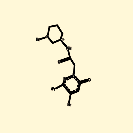 CCN1CCC[C@@H](NC(=O)Cn2nc(C(C)C)c(Br)cc2=O)C1